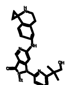 CCn1c(=O)c2cnc(Nc3ccc4c(c3)CCNC43CC3)cc2n1-c1cccc(C(C)(C)CO)n1